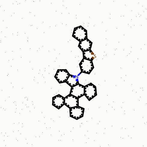 c1ccc2cc3c(cc2c1)sc1ccc(-n2c4ccccc4c4c5c6ccccc6c6ccccc6c5c5ccccc5c42)cc13